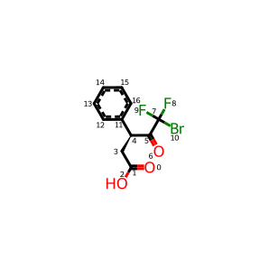 O=C(O)C[C@H](C(=O)C(F)(F)Br)c1ccccc1